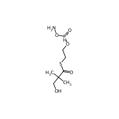 CC(C)(CO)C(=O)SCCO[PH](=O)ON